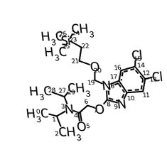 CC(C)N(C(=O)COc1nc2cc(Cl)c(Cl)cc2n1COCC[Si](C)(C)C)C(C)C